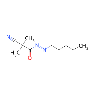 CCCCCN=NC(=O)C(C)(C)C#N